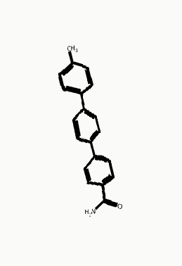 Cc1ccc(-c2ccc(-c3ccc(C(N)=O)cc3)cc2)cc1